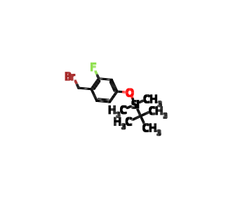 CC(C)(C)[Si](C)(C)Oc1ccc(CBr)c(F)c1